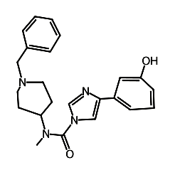 CN(C(=O)n1cnc(-c2cccc(O)c2)c1)C1CCN(Cc2ccccc2)CC1